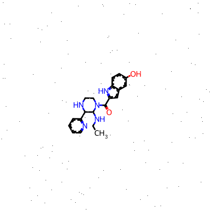 CCNC1C(c2ccccn2)NCCN1C(=O)c1cc2cc(O)ccc2[nH]1